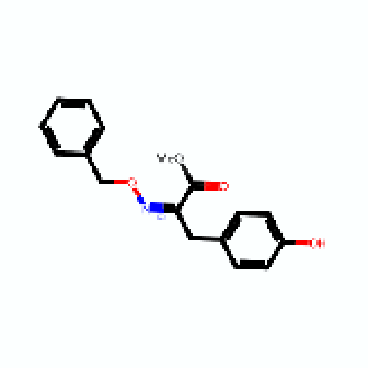 COC(=O)/C(Cc1ccc(O)cc1)=N\OCc1ccccc1